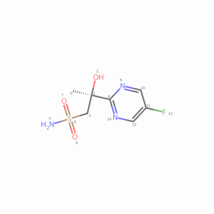 C[C@@](O)(CS(N)(=O)=O)c1ncc(F)cn1